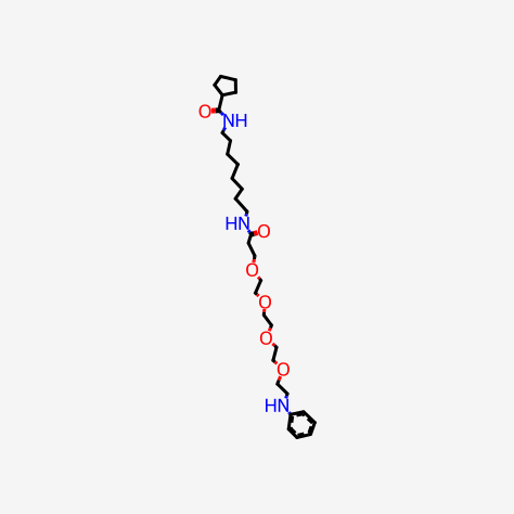 O=C(CCOCCOCCOCCOCCNc1ccccc1)NCCCCCCCCNC(=O)C1CCCC1